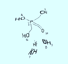 B.F.O=P(O)(O)O.[KH]